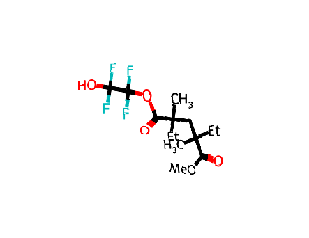 CCC(C)(CC(C)(CC)C(=O)OC(F)(F)C(O)(F)F)C(=O)OC